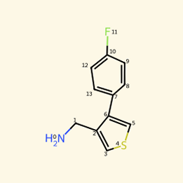 NCc1cscc1-c1ccc(F)cc1